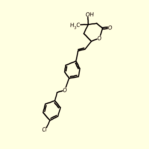 CC1(O)CC(=O)OC(C=Cc2ccc(OCc3ccc(Cl)cc3)cc2)C1